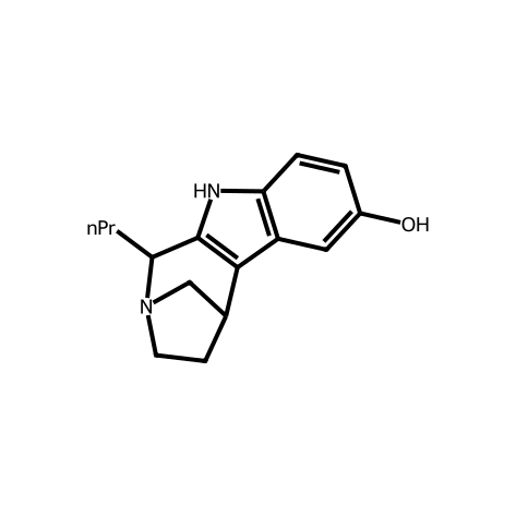 CCCC1c2[nH]c3ccc(O)cc3c2C2CCN1C2